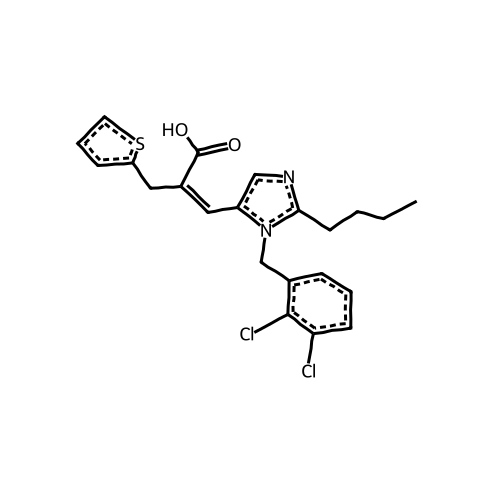 CCCCc1ncc(C=C(Cc2cccs2)C(=O)O)n1Cc1cccc(Cl)c1Cl